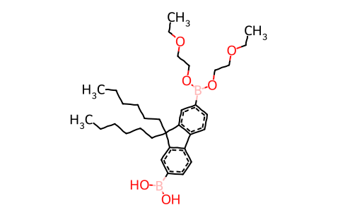 CCCCCCC1(CCCCCC)c2cc(B(O)O)ccc2-c2ccc(B(OCCOCC)OCCOCC)cc21